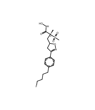 C[C@@](CC1CC(c2ccc(CCCCF)cc2)=NO1)(C(=O)NO)S(C)(=O)=O